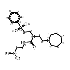 CCN(CC)CCNC(=O)N(CCN1CCCCCC1)CCS(=O)(=O)c1ccccc1